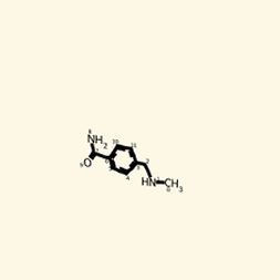 CNCc1ccc(C(N)=O)cc1